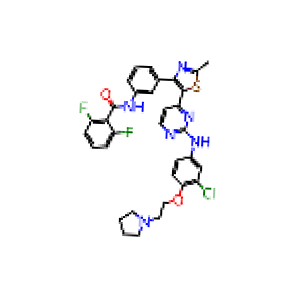 Cc1nc(-c2cccc(NC(=O)c3c(F)cccc3F)c2)c(-c2ccnc(Nc3ccc(OCCN4CCCC4)c(Cl)c3)n2)s1